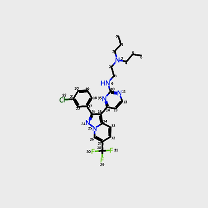 CCCN(CCC)CCNc1nccc(-c2c(-c3cccc(Cl)c3)nn3cc(C(F)(F)F)ccc23)n1